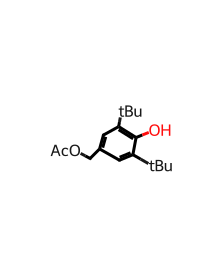 CC(=O)OCc1cc(C(C)(C)C)c(O)c(C(C)(C)C)c1